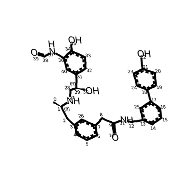 C[C@H](Cc1cccc(CC(=O)NCc2cccc(-c3ccc(O)cc3)c2)c1)NC[C@H](O)c1ccc(O)c(NC=O)c1